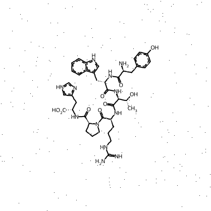 C[C@@H](O)[C@H](NC(=O)[C@H](Cc1c[nH]c2ccccc12)NC(=O)[C@@H](N)Cc1ccc(O)cc1)C(=O)N[C@@H](CCCNC(=N)N)C(=O)N1CCC[C@H]1C(=O)N[C@@H](Cc1c[nH]cn1)C(=O)O